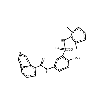 COc1ncc(NC(=O)c2cccn3cnnc23)cc1S(=O)(=O)Nc1c(C)cccc1C